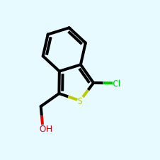 OCc1sc(Cl)c2ccccc12